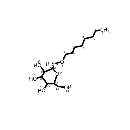 CCCCCCCCO[SiH2]C1OC(CO)C(O)C(O)C1O